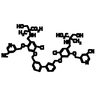 CC(CO)(NCc1cc(Cl)c(OCc2cccc(-c3cccc(COc4cc(OCc5cncc(C#N)c5)c(CN[C@](C)(CO)C(=O)O)cc4Cl)c3)c2)cc1OCc1cncc(C#N)c1)C(=O)O